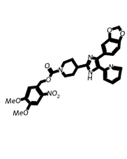 COc1cc(COC(=O)N2CCC(c3nc(-c4ccc5c(c4)OCO5)c(-c4ccccn4)[nH]3)CC2)c([N+](=O)[O-])cc1OC